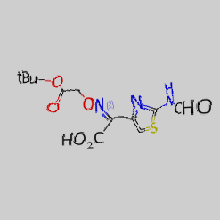 CC(C)(C)OC(=O)CO/N=C(\C(=O)O)c1csc(NC=O)n1